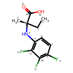 CC[C@](C)(Nc1ccc(F)c(F)c1F)C(=O)O